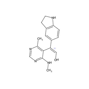 CNc1ncnc(C)c1/C(=C\O)c1ccc2c(c1)CCN2